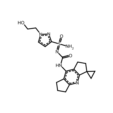 NS(=O)(=NC(=O)Nc1c2c(nc3c1CCC31CC1)CCC2)c1ccn(CCO)n1